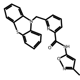 Cc1cc(NC(=O)c2cccc(CN3c4ccccc4Sc4ccccc43)n2)on1